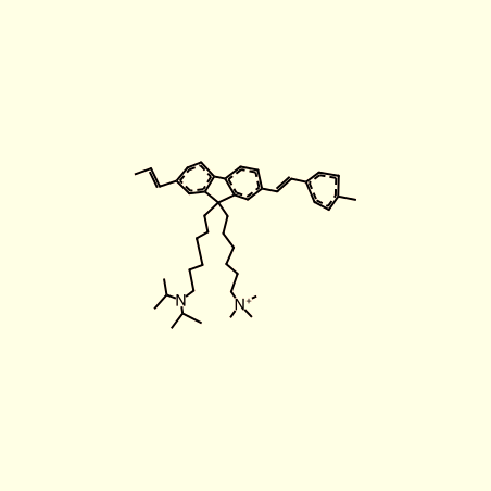 C/C=C/c1ccc2c(c1)C(CCCCCCN(C(C)C)C(C)C)(CCCCCC[N+](C)(C)C)c1cc(/C=C/c3ccc(C)cc3)ccc1-2